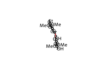 CCOc1cc(OC)c(C(=O)Oc2ccc(C(=O)Oc3ccc(-c4ccc(NC(=O)c5ccc(OC(=O)c6c(OC)cc(C(C)O)cc6OC)cc5)cc4)cc3C)cc2)c(OC)c1